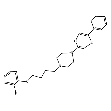 Fc1ccccc1SCCCCN1CCN(C2=COC(C3=CC=CCC3)=CO2)CC1